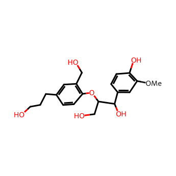 COc1cc(C(O)C(CO)Oc2ccc(CCCO)cc2CO)ccc1O